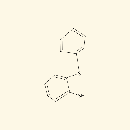 Sc1ccccc1Sc1ccccc1